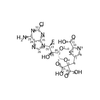 CO[C@H](COC(Cc1cnc(C(=O)O)s1)(C(=O)O)C(=O)O)[C@@H](O)[C@H](F)n1cnc2c(N)nc(Cl)nc21